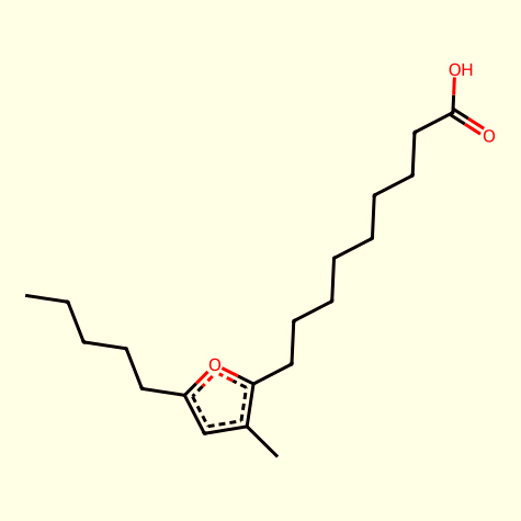 CCCCCc1cc(C)c(CCCCCCCCC(=O)O)o1